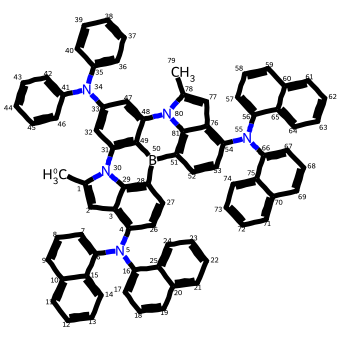 Cc1cc2c(N(c3cccc4ccccc34)c3cccc4ccccc34)ccc3c2n1-c1cc(N(c2ccccc2)c2ccccc2)cc2c1B3c1ccc(N(c3cccc4ccccc34)c3cccc4ccccc34)c3cc(C)n-2c13